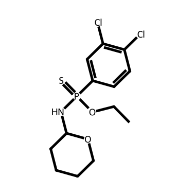 CCOP(=S)(NC1CCCCO1)c1ccc(Cl)c(Cl)c1